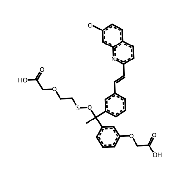 CC(OSCCOCC(=O)O)(c1cccc(C=Cc2ccc3ccc(Cl)cc3n2)c1)c1cccc(OCC(=O)O)c1